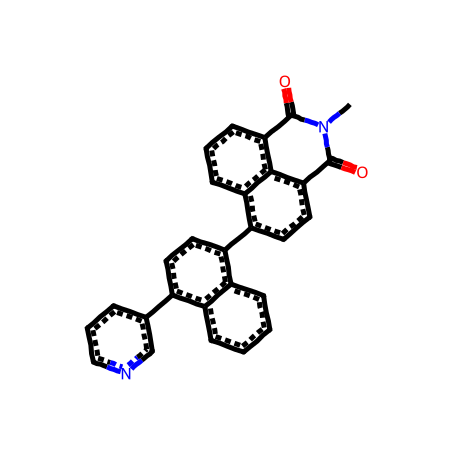 CN1C(=O)c2cccc3c(-c4ccc(-c5cccnc5)c5ccccc45)ccc(c23)C1=O